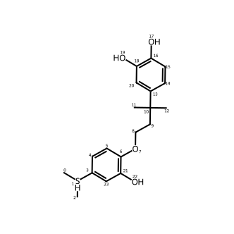 C[SH](C)c1ccc(OCCC(C)(C)c2ccc(O)c(O)c2)c(O)c1